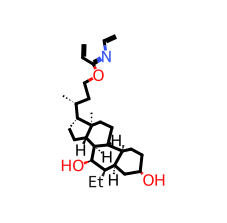 C=C/N=C(\C=C)OCC[C@@H](C)[C@H]1CC[C@H]2[C@@H]3[C@H](O)[C@H](CC)[C@@H]4C[C@H](O)CC[C@]4(C)[C@H]3CC[C@]12C